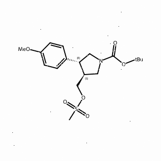 COc1ccc([C@@H]2CN(C(=O)OC(C)(C)C)C[C@H]2COS(C)(=O)=O)cc1